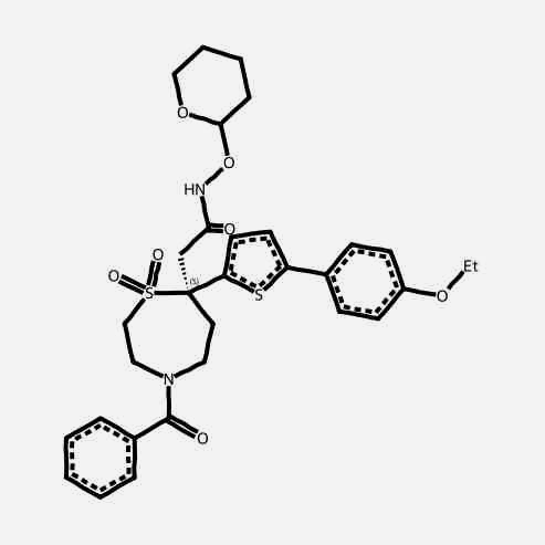 CCOc1ccc(-c2ccc([C@@]3(CC(=O)NOC4CCCCO4)CCN(C(=O)c4ccccc4)CCS3(=O)=O)s2)cc1